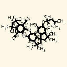 CC(C)CC(C)(C)Oc1cc2c(cc1O)C1(CC2(C)C)CC(C)(C)c2cc3c(cc21)Oc1c(C#N)c2c(c(C#N)c1O3)C(C)(C)CC2(C)C